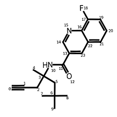 C#CCC(C)(CC(C)(C)C)NC(=O)c1cnc2c(F)cccc2c1